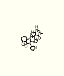 CN1CNc2ncnc(N3CCC[C@H]3c3nc4c(c(=O)n3-c3cccnc3)C(Cl)=CCC=C4)c2C1=O